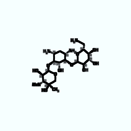 CN[C@@H]1[C@@H](O)[C@@H](O[C@@H]2[C@@H](O)[C@H](O[C@H]3O[C@H](CN)[C@@H](O)[C@H](O)[C@H]3O)[C@@H](N)C[C@H]2N)OC[C@]1(C)O